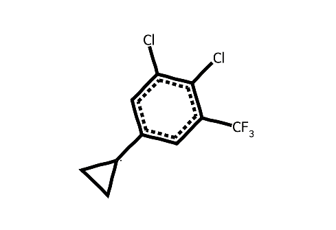 FC(F)(F)c1cc([C]2CC2)cc(Cl)c1Cl